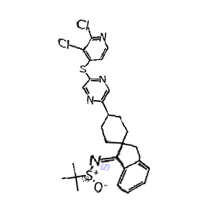 CC(C)(C)[S@@+]([O-])/N=C1\c2ccccc2CC12CCC(c1cnc(Sc3ccnc(Cl)c3Cl)cn1)CC2